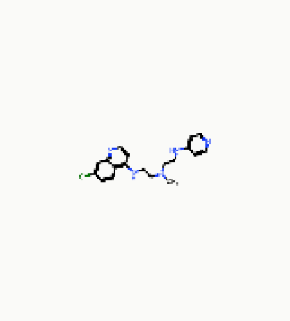 CN(CCNc1ccncc1)CCNc1ccnc2cc(Cl)ccc12